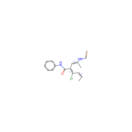 C\C=C/C(Cl)=C(\C=C(/C)NC=S)C(=O)Nc1ccccc1